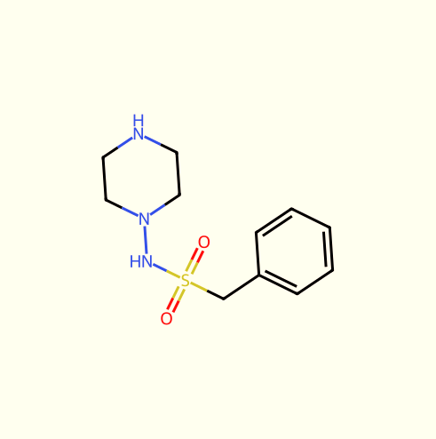 O=S(=O)(Cc1ccccc1)NN1CCNCC1